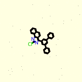 Clc1nc(-c2cc(-c3ccccc3)cc(-c3ccccc3)c2)c2ccc3ccccc3c2n1